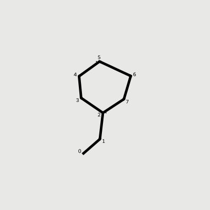 CC[C]1CC[CH]CC1